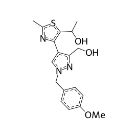 COc1ccc(Cn2cc(-c3nc(C)sc3C(C)O)c(CO)n2)cc1